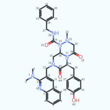 CN(C)c1nc2ccccc2cc1CN1CC2N(C(=O)CN(C)N2C(=O)NCc2ccccc2)[C@@H](Cc2ccc(O)cc2)C1=O